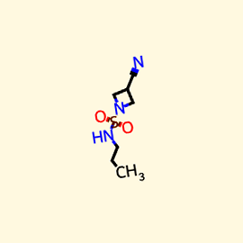 CCCNS(=O)(=O)N1CC(C#N)C1